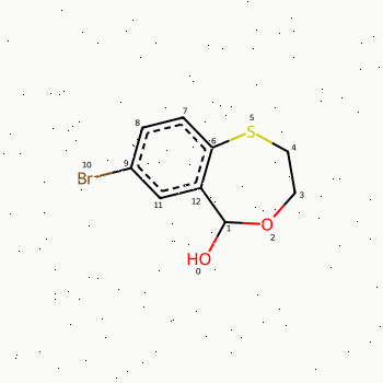 OC1OCCSc2ccc(Br)cc21